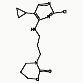 O=C1OCCCN1CCCNc1nc(Cl)ncc1C1CC1